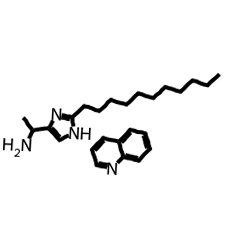 CCCCCCCCCCCc1nc(C(C)N)c[nH]1.c1ccc2ncccc2c1